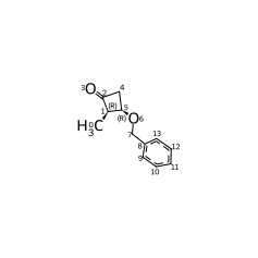 C[C@H]1C(=O)C[C@H]1OCc1ccccc1